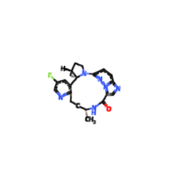 C[C@@H]1CCc2ncc(F)cc2[C@@]23C[C@@H]2CCN3c2ccc3ncc(n3n2)C(=O)N1